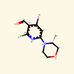 C[C@@H]1COCCN1c1cc(I)c(C=O)c(F)n1